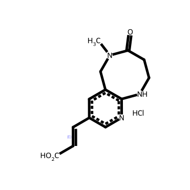 CN1Cc2cc(/C=C/C(=O)O)cnc2NCCC1=O.Cl